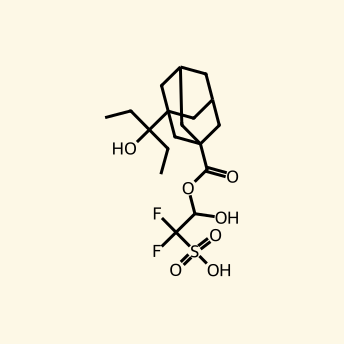 CCC(O)(CC)C12CC3CC(CC(C(=O)OC(O)C(F)(F)S(=O)(=O)O)(C3)C1)C2